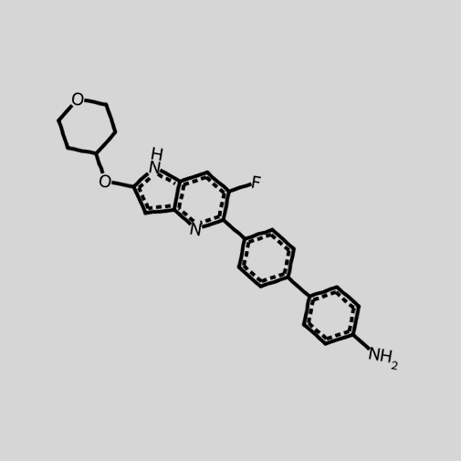 Nc1ccc(-c2ccc(-c3nc4cc(OC5CCOCC5)[nH]c4cc3F)cc2)cc1